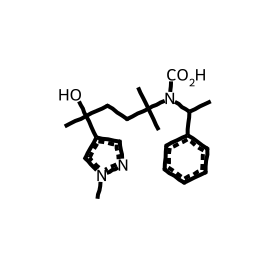 CC(c1ccccc1)N(C(=O)O)C(C)(C)CCC(C)(O)c1cnn(C)c1